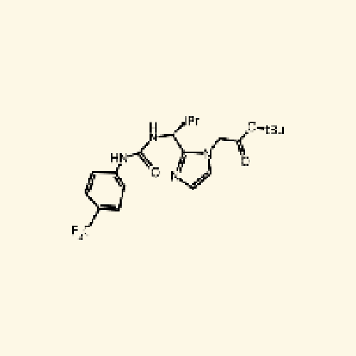 CC(C)[C@H](NC(=O)Nc1ccc(C(F)(F)F)cc1)c1nccn1CC(=O)OC(C)(C)C